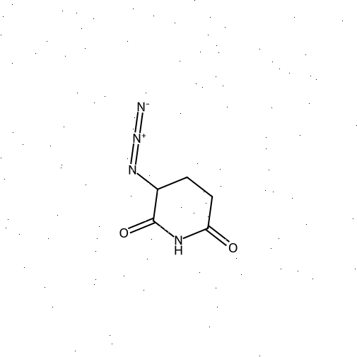 [N-]=[N+]=NC1CCC(=O)NC1=O